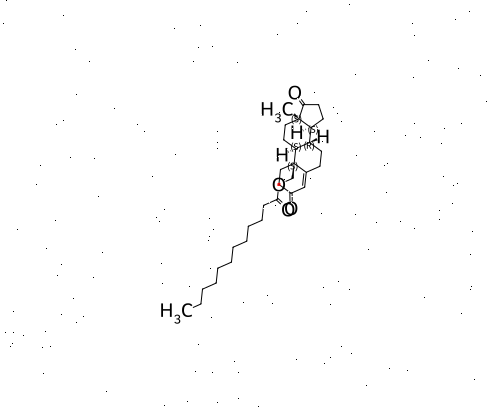 CCCCCCCCCCCC(=O)OC[C@]12CCC(=O)C=C1CC[C@@H]1[C@@H]2CC[C@]2(C)C(=O)CC[C@@H]12